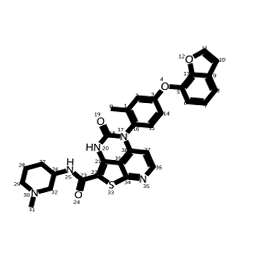 Cc1cc(Oc2cccc3ccoc23)ccc1N1C(=O)Nc2c(C(=O)NC3CCCN(C)C3)sc3nccc1c23